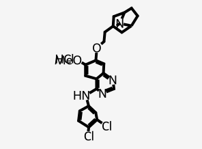 COc1cc2c(Nc3ccc(Cl)c(Cl)c3)ncnc2cc1OCCC1CC2CCC(C1)N2C.Cl